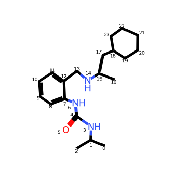 CC(C)NC(=O)Nc1ccccc1CNC(C)CC1CCCCC1